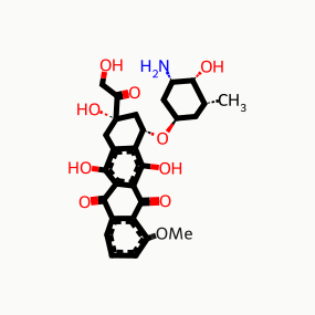 COc1cccc2c1C(=O)c1c(O)c3c(c(O)c1C2=O)C[C@@](O)(C(=O)CO)C[C@@H]3O[C@@H]1C[C@@H](C)[C@@H](O)[C@@H](N)C1